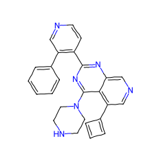 C1=CC(c2cncc3nc(-c4ccncc4-c4ccccc4)nc(N4CCNCC4)c23)=C1